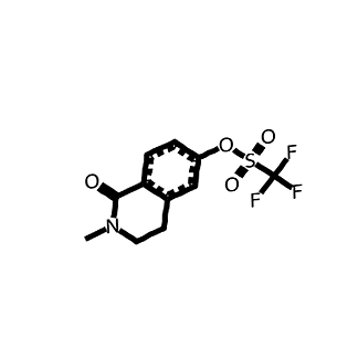 CN1CCc2cc(OS(=O)(=O)C(F)(F)F)ccc2C1=O